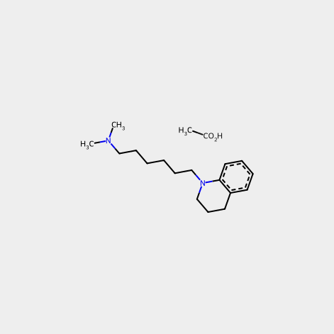 CC(=O)O.CN(C)CCCCCCN1CCCc2ccccc21